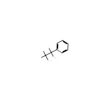 CCCCC(C)(CC)C(O)(O)c1ccccc1